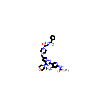 COC(=O)Nc1cc(C)c(-c2nc(N3CCOCC3)c3cc(CN4CCN(C(=O)CNC(=O)C5=CCCC5)CC4)cn3n2)cn1